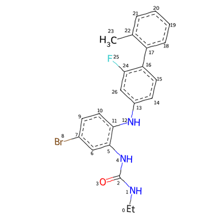 CCNC(=O)Nc1cc(Br)ccc1Nc1ccc(-c2ccccc2C)c(F)c1